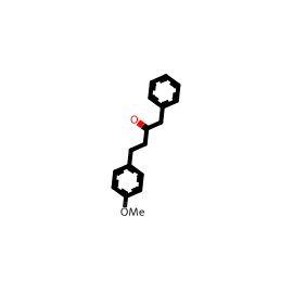 COc1ccc(CCC(=O)Cc2ccccc2)cc1